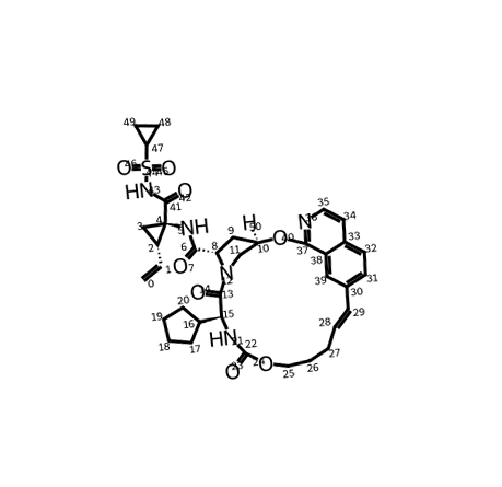 C=C[C@@H]1C[C@]1(NC(=O)[C@@H]1C[C@@H]2CN1C(=O)[C@H](C1CCCC1)NC(=O)OCCC/C=C/c1ccc3ccnc(c3c1)O2)C(=O)NS(=O)(=O)C1CC1